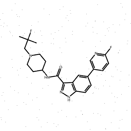 CC(C)(F)CN1CCC(NC(=O)c2n[nH]c3ccc(-c4ccc(F)nc4)cc23)CC1